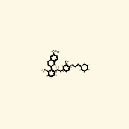 COc1ccc2c(c1)CCC(c1c(C)cccc1NCc1ccc(OCCN3CCCCC3)c(F)c1)C2